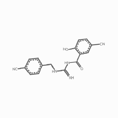 N#Cc1ccc(CNC(=N)NC(=O)c2cc(C#N)ccc2O)cc1